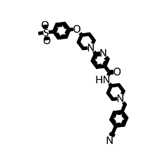 CS(=O)(=O)c1ccc(OC2CCN(c3ccc(C(=O)NC4CCN(Cc5ccc(C#N)cc5)CC4)cn3)CC2)cc1